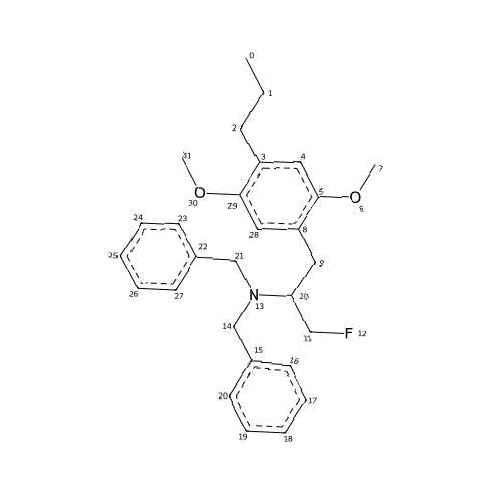 CCCc1cc(OC)c(CC(CF)N(Cc2ccccc2)Cc2ccccc2)cc1OC